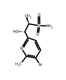 Cc1nc([C@H](O)[C@@H](C)S(N)(=O)=O)ccc1Br